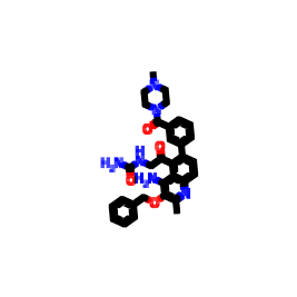 Cc1nc2ccc(-c3cccc(C(=O)N4CCN(C)CC4)c3)c(C(=O)CNC(N)=O)c2c(N)c1OCc1ccccc1